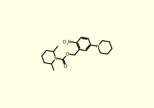 CC1CCCC(C)N1C(=O)OCc1cc(N2CCCCC2)ccc1[N+](=O)[O-]